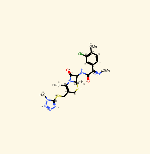 CO/N=C(/C(=O)NC1C(=O)N2C(C(=O)O)=C(CSc3nnnn3C)CS[C@H]12)c1ccc(OC)c(Cl)c1